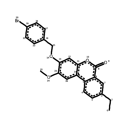 CCc1ccc2c(c1)c(=O)oc1cc(OCc3ccc(Br)cc3)c(OC)cc12